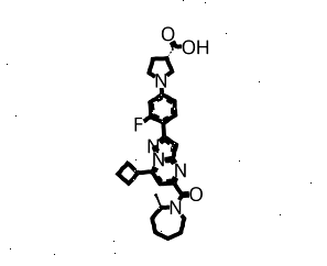 C[C@@H]1CCCCCN1C(=O)c1cc(C2CCC2)n2nc(-c3ccc(N4CC[C@H](C(=O)O)C4)cc3F)cc2n1